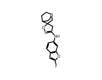 Fc1cc2ccc(NC3=NOC4(C3)CN3CCC4CC3)cc2o1